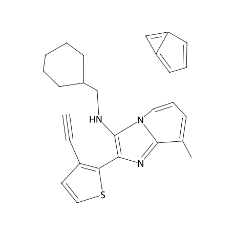 C#Cc1ccsc1-c1nc2c(C)cccn2c1NCC1CCCCC1.c1cc2cc-2c1